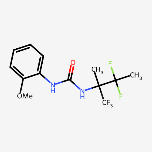 COc1ccccc1NC(=O)NC(C)(C(C)(F)F)C(F)(F)F